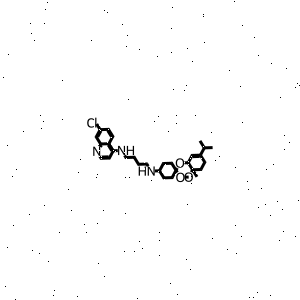 CC(C)C1=CC2OC3(CCC(NCCCCNc4ccnc5cc(Cl)ccc45)CC3)OOC2(C)CC1